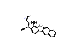 C#Cc1c(/C=C\C)[nH]c2c1ccc1c3cc4ccccc4cc3oc12